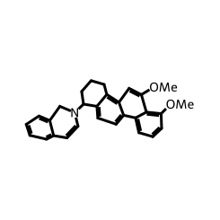 COc1cccc2c1c(OC)cc1c3c(ccc12)C(N1C=Cc2ccccc2C1)CCC3